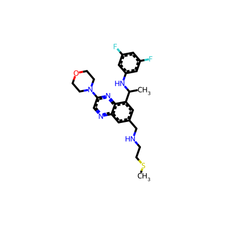 CSCCNCc1cc(C(C)Nc2cc(F)cc(F)c2)c2nc(N3CCOCC3)cnc2c1